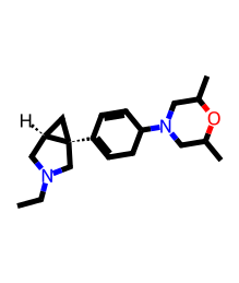 CCN1C[C@H]2C[C@@]2(C2=CCC(N3CC(C)OC(C)C3)C=C2)C1